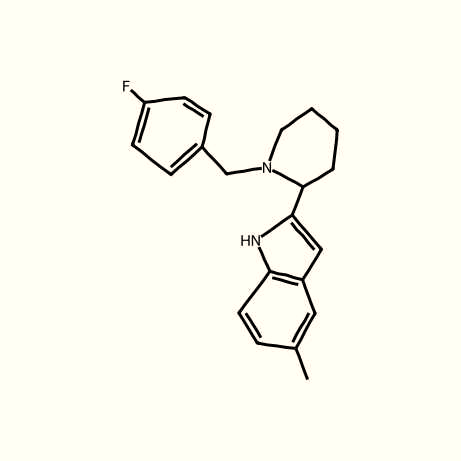 Cc1ccc2[nH]c(C3CCCCN3Cc3ccc(F)cc3)cc2c1